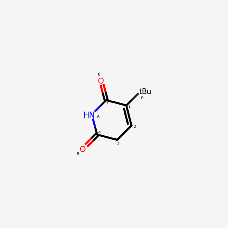 CC(C)(C)C1=CCC(=O)NC1=O